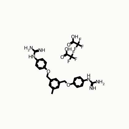 Cc1cc(COc2ccc(NC(=N)N)cc2)cc(COc2ccc(NC(=N)N)cc2)c1.O=C(O)C(F)(F)F.O=C(O)C(F)(F)F